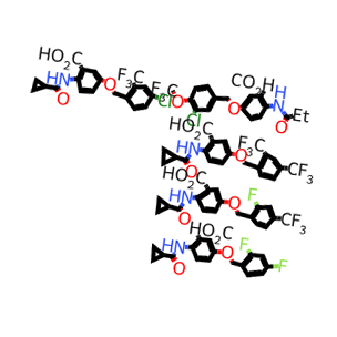 CCC(=O)Nc1ccc(OCc2ccc(OC(F)(F)F)c(Cl)c2)cc1C(=O)O.O=C(O)c1cc(OCc2ccc(C(F)(F)F)cc2C(F)(F)F)ccc1NC(=O)C1CC1.O=C(O)c1cc(OCc2ccc(C(F)(F)F)cc2F)ccc1NC(=O)C1CC1.O=C(O)c1cc(OCc2ccc(Cl)cc2C(F)(F)F)ccc1NC(=O)C1CC1.O=C(O)c1cc(OCc2ccc(F)cc2F)ccc1NC(=O)C1CC1